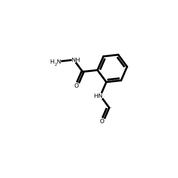 NNC(=O)c1ccccc1N[C]=O